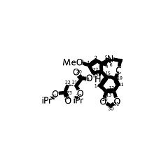 COC1=CC23CCCN2CCc2cc4c(cc2[C@@H]3C1OC(=O)[C@@H](CC(=O)OC(C)C)OC(C)C)OCO4